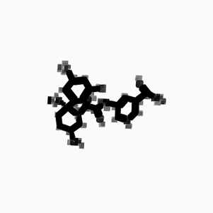 C[C@H]1CC[C@@](C)(c2cc(Cl)cc(C(F)(F)F)c2)N(C(=O)C(=O)Nc2cncc(C(N)=O)c2)C1